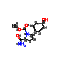 CC(C)(C)OC(=O)N1[C@H](C(N)=O)CC[C@H]1c1ccc(O)cc1